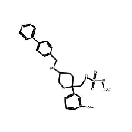 COc1cccc(C2(CNS(=O)(=O)NC(=O)O)CCC(NCc3ccc(-c4ccccc4)cc3)CC2)c1